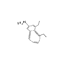 CCc1cccc2cc(N)cc(CC)c12